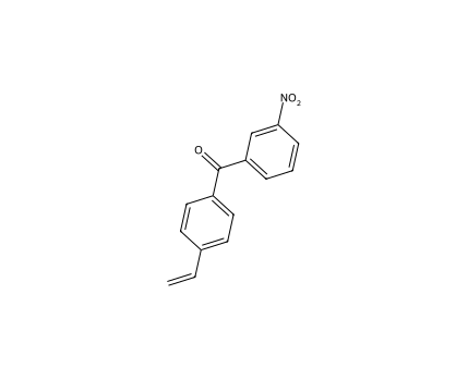 C=Cc1ccc(C(=O)c2cccc([N+](=O)[O-])c2)cc1